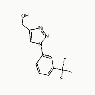 CC(F)(F)c1cccc(-n2cc(CO)nn2)c1